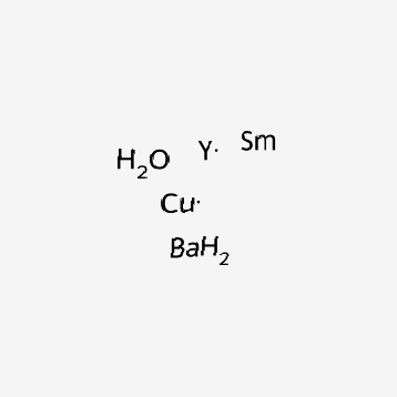 O.[BaH2].[Cu].[Sm].[Y]